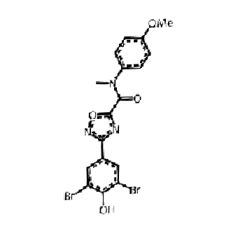 COc1ccc(N(C)C(=O)c2nc(-c3cc(Br)c(O)c(Br)c3)no2)cc1